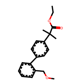 CCOC(=O)C(C)(C)c1ccc(-c2ccccc2COC)cc1